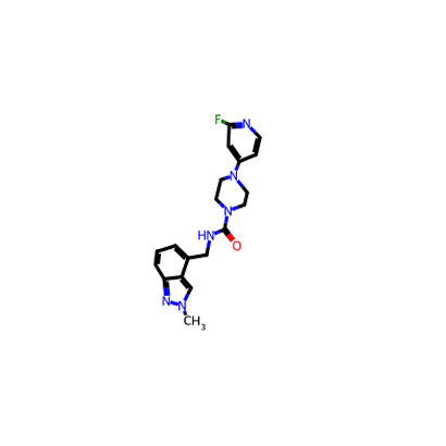 Cn1cc2c(CNC(=O)N3CCN(c4ccnc(F)c4)CC3)cccc2n1